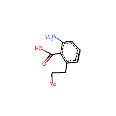 Nc1cccc(CCBr)c1C(=O)O